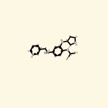 FC(F)Oc1ccc(NCc2cccnc2)cc1OC1CCOC1